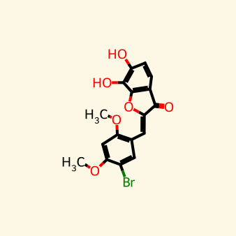 COc1cc(OC)c(C=C2Oc3c(ccc(O)c3O)C2=O)cc1Br